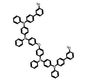 [3H]c1cccc(-c2ccc(N(c3ccccc3)c3ccc(N(c4ccccc4)c4ccc(Oc5ccc(N(c6ccccc6)c6ccc(N(c7ccccc7)c7ccc(-c8cccc([3H])c8)cc7)cc6)cc5)cc4)cc3)cc2)c1